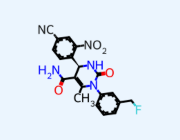 CC1=C(C(N)=O)[C@@H](c2ccc(C#N)cc2[N+](=O)[O-])NC(=O)N1c1cccc(CF)c1